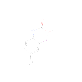 Cc1ccc(NC(=O)OC(C)(C)C)c(I)c1